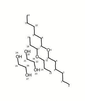 CCCCCCOCCCCCC.CCCOCCC.OCCO.OCCO